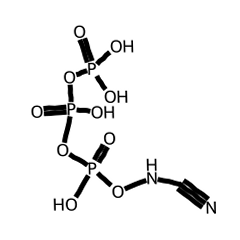 N#CNOP(=O)(O)OP(=O)(O)OP(=O)(O)O